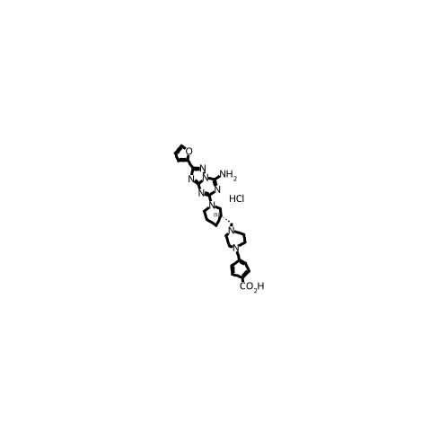 Cl.Nc1nc(N2CCC[C@@H](CN3CCN(c4ccc(C(=O)O)cc4)CC3)C2)nc2nc(-c3ccco3)nn12